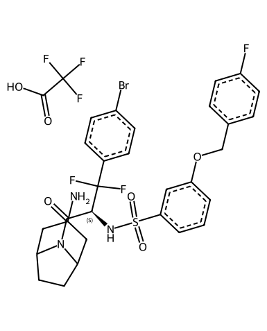 NC1CC2CCC(C1)N2C(=O)[C@H](NS(=O)(=O)c1cccc(OCc2ccc(F)cc2)c1)C(F)(F)c1ccc(Br)cc1.O=C(O)C(F)(F)F